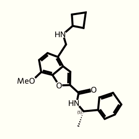 COc1ccc(CNC2CCC2)c2cc(C(=O)N[C@@H](C)c3ccccc3)oc12